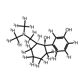 [2H]c1c([2H])c(O)c([2H])c([C@]2(O)C([2H])([2H])C([2H])([2H])C([2H])([2H])C([2H])([2H])[C@@]2([2H])C([2H])([2H])N(C([2H])([2H])[2H])C([2H])([2H])[2H])c1[2H]